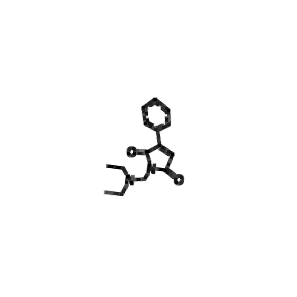 CCN(CC)CN1C(=O)C=C(c2ccccc2)C1=O